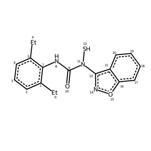 CCc1cccc(CC)c1NC(=O)N(S)c1noc2ccccc12